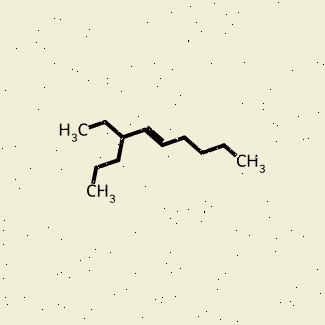 CCCC/C=C/C(CC)CCC